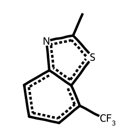 Cc1nc2cccc(C(F)(F)F)c2s1